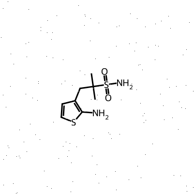 CC(C)(Cc1ccsc1N)S(N)(=O)=O